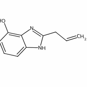 C=CCc1nc2c(O)cccc2[nH]1